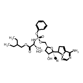 CCC(CC)COC(=O)[C@H](C)N[P@](=O)(OC[C@H]1O[C@@](C#N)(C2CC=C3C(N)=NC=NN32)[C@H](O)[C@@H]1O)Oc1ccccc1